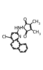 CC1=C(C)C(=O)N(Nc2cc(Cl)c3ccc4ccccc4c3n2)C1=O